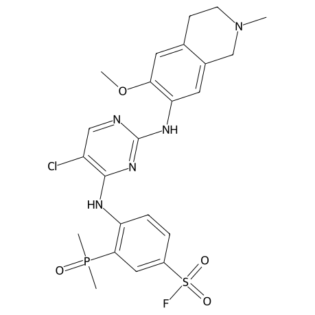 COc1cc2c(cc1Nc1ncc(Cl)c(Nc3ccc(S(=O)(=O)F)cc3P(C)(C)=O)n1)CN(C)CC2